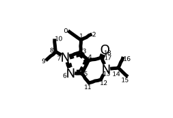 CC(C)c1c2c(nn1C(C)C)CCN(C(C)C)C2=O